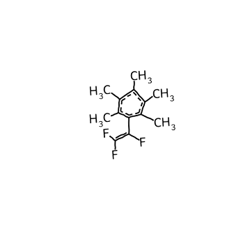 Cc1c(C)c(C)c(C(F)=C(F)F)c(C)c1C